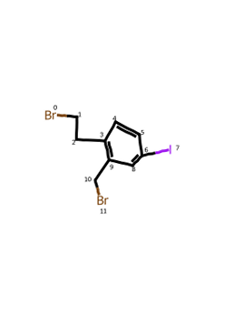 BrCCc1ccc(I)cc1CBr